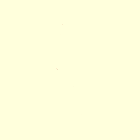 CCCCC1CCC(C(=O)Oc2ccc(CCc3ccc(C#N)cc3)nc2)CC1